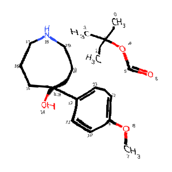 CC(C)(C)OC=O.COc1ccc(C2(O)CCCNCC2)cc1